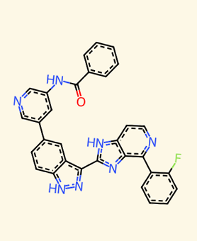 O=C(Nc1cncc(-c2ccc3[nH]nc(-c4nc5c(-c6ccccc6F)nccc5[nH]4)c3c2)c1)c1ccccc1